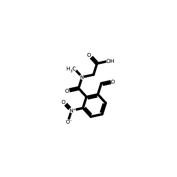 CN(CC(=O)O)C(=O)c1c(C=O)cccc1[N+](=O)[O-]